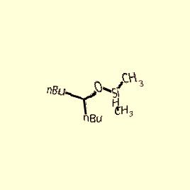 CCCCC(CCCC)O[SiH](C)C